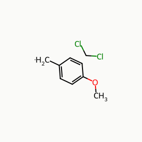 ClCCl.[CH2]c1ccc(OC)cc1